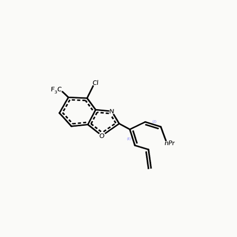 C=C/C=C(\C=C/CCC)c1nc2c(Cl)c(C(F)(F)F)ccc2o1